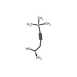 C[C@@H](O)CC#C[Si](C)(C)C